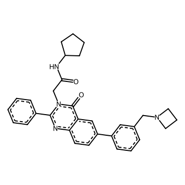 O=C(Cn1c(-c2ccccc2)nc2ccc(-c3cccc(CN4CCC4)c3)cc2c1=O)NC1CCCC1